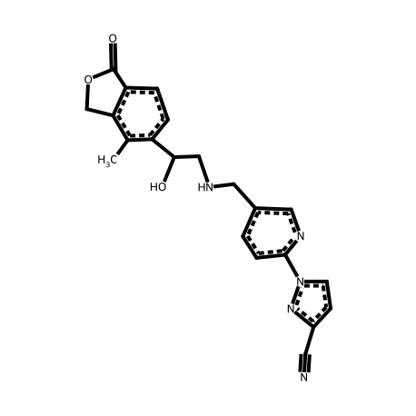 Cc1c(C(O)CNCc2ccc(-n3ccc(C#N)n3)nc2)ccc2c1COC2=O